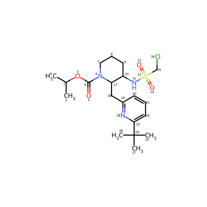 CC(C)OC(=O)N1CCCC(NS(=O)(=O)CCl)C1Cc1cccc(C(C)(C)C)n1